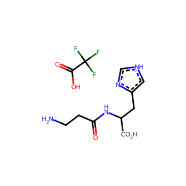 NCCC(=O)NC(Cc1c[nH]cn1)C(=O)O.O=C(O)C(F)(F)F